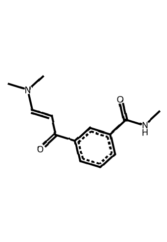 CNC(=O)c1cccc(C(=O)C=CN(C)C)c1